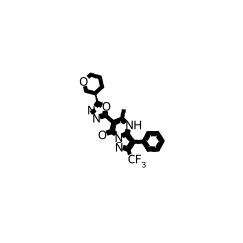 Cc1[nH]c2c(-c3ccccc3)c(C(F)(F)F)nn2c(=O)c1-c1nnc([C@@H]2CCCOC2)o1